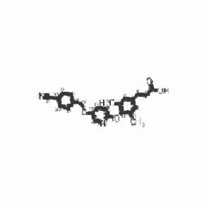 Cc1cc(C=CC(=O)O)cc(C)c1Oc1ccc(OCc2ccc(C#N)cc2)cn1